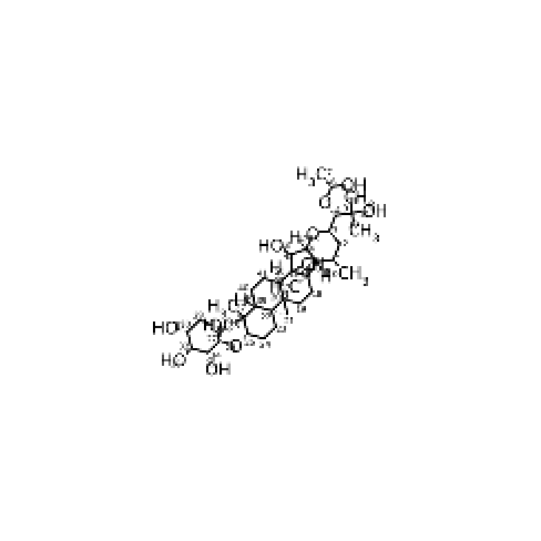 C[C@@H]1C[C@H]([C@H](O[C@@H](C)O)C(C)(C)O)O[C@H]2[C@H]1[C@@]1(C)CC[C@@]34C[C@@]35CC[C@H](O[C@@H]3OC[C@@H](O)[C@H](O)[C@H]3O)C(C)(C)[C@@H]5CC[C@H]4[C@]1(C)[C@H]2O